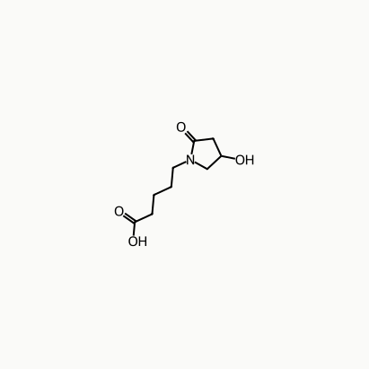 O=C(O)CCCCN1CC(O)CC1=O